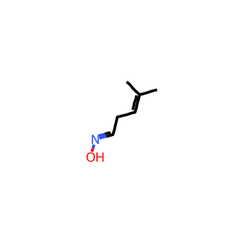 CC(C)=CCC=NO